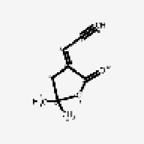 C#CC=C1CC(C)(C)OC1=O